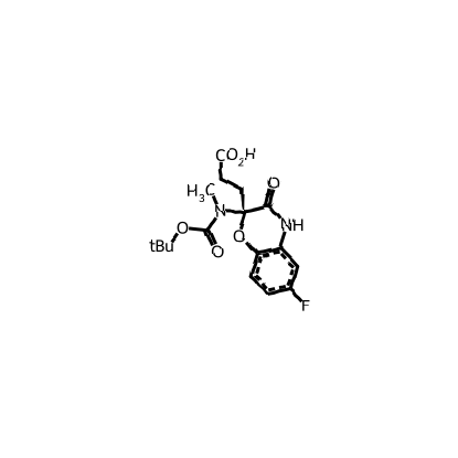 CN(C(=O)OC(C)(C)C)[C@@]1(CCC(=O)O)Oc2ccc(F)cc2NC1=O